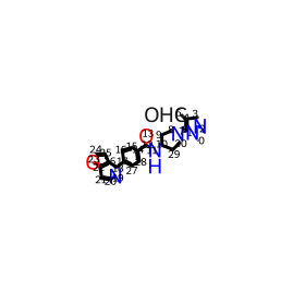 Cn1ncc(C=O)c1N1CCC(NC(=O)c2ccc(-c3nccc4occc34)cc2)CC1